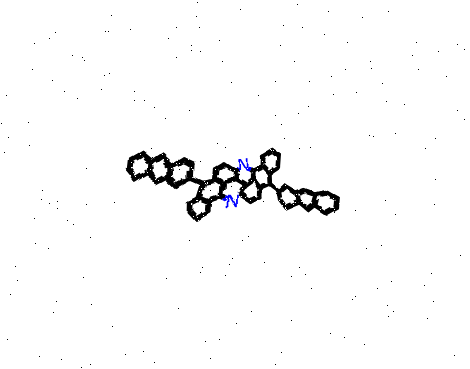 c1ccc2cc3cc(-c4c5ccccc5c5nc6ccc7c(-c8ccc9cc%10ccccc%10cc9c8)c8ccccc8c8nc9ccc4c5c9c6c78)ccc3cc2c1